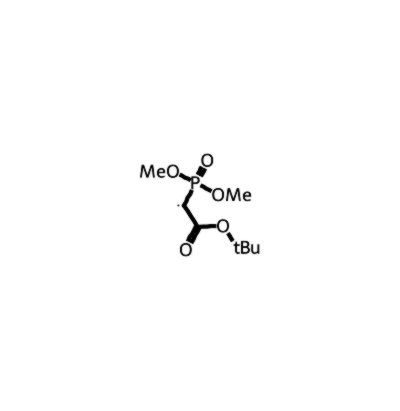 COP(=O)([CH]C(=O)OC(C)(C)C)OC